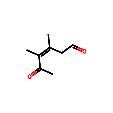 CC(=O)C(C)=C(C)CC=O